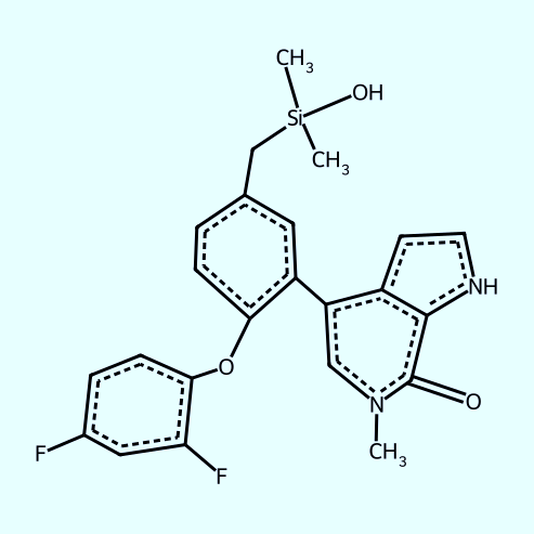 Cn1cc(-c2cc(C[Si](C)(C)O)ccc2Oc2ccc(F)cc2F)c2cc[nH]c2c1=O